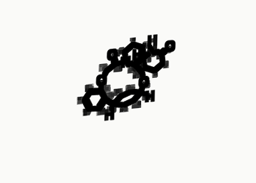 O=C1CCC[C@@]2(CCCN3C(=O)COc4ccccc4[C@H]4CC[C@H](CC4)OC[C@H]32)N1